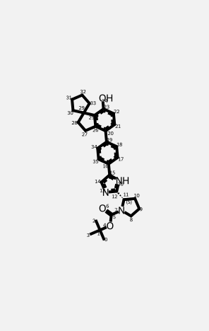 CC(C)(C)OC(=O)N1CCC[C@H]1c1ncc(-c2ccc(-c3ccc(O)c4c3CCC43CCCC3)cc2)[nH]1